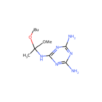 CCC(C)OC(C)(Nc1nc(N)nc(N)n1)OC